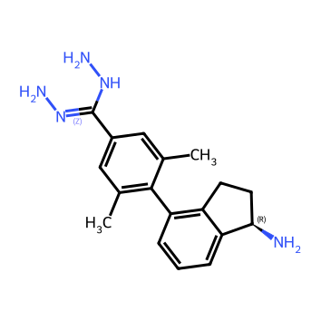 Cc1cc(/C(=N/N)NN)cc(C)c1-c1cccc2c1CC[C@H]2N